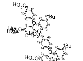 CC(C)(C)c1ccc(Oc2ccc(C(=O)O)cc2)c(Oc2ccc(C(=O)O)cc2)c1.CC(C)(C)c1ccc(Oc2ccc(C(=O)O)cc2)c(Oc2ccc(C(=O)O)cc2)c1.Cl.Cl